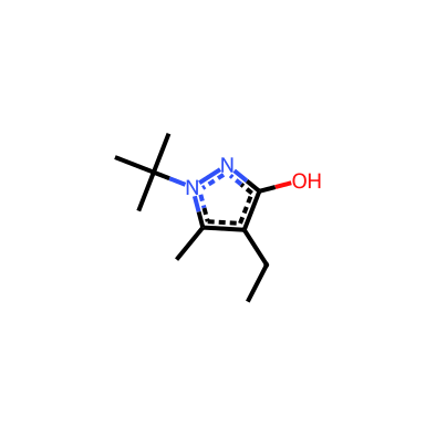 CCc1c(O)nn(C(C)(C)C)c1C